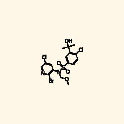 COCN(c1cc(Cl)cnc1Br)S(=O)(=O)c1ccc(Cl)c(C(C)(C)O)c1